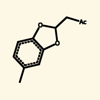 CC(=O)CC1Oc2ccc(C)cc2O1